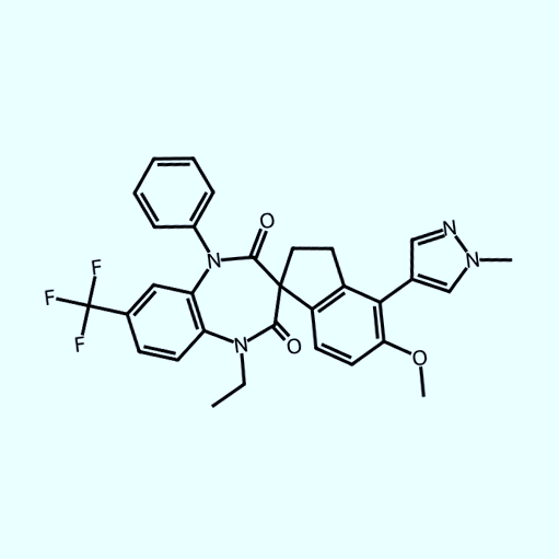 CCN1C(=O)C2(CCc3c2ccc(OC)c3-c2cnn(C)c2)C(=O)N(c2ccccc2)c2cc(C(F)(F)F)ccc21